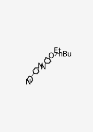 CCCCC(CC)COc1ccc(/N=N/c2ccc(-c3ccncc3)cc2)cc1